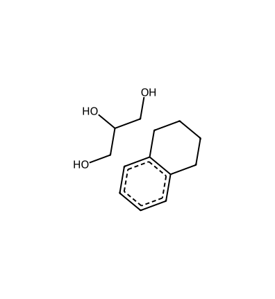 OCC(O)CO.c1ccc2c(c1)CCCC2